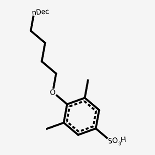 CCCCCCCCCCCCCCOc1c(C)cc(S(=O)(=O)O)cc1C